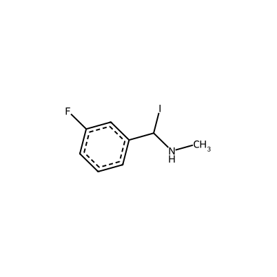 CNC(I)c1cccc(F)c1